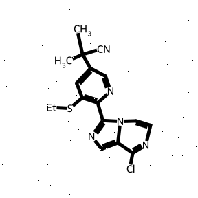 CCSc1cc(C(C)(C)C#N)cnc1-c1ncc2c(Cl)nccn12